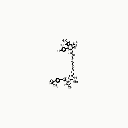 Cc1ncsc1-c1ccc(CNC(=O)[C@@H]2[C@H](F)[C@@H](O)CN2C(=O)[C@@H](NC(=O)COCCOCCOCCNC(=O)C[C@@H]2N=C(c3ccc(Cl)cc3)c3c(sc(C)c3C)-n3c(C)nnc32)C(C)(C)C)cc1